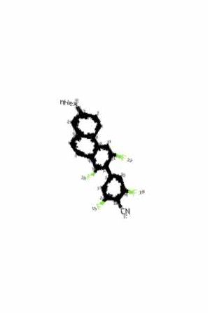 CCCCCCc1ccc2c(ccc3c(F)c(-c4cc(F)c(C#N)c(F)c4)c(F)cc32)c1